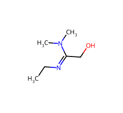 CCN=C(CO)N(C)C